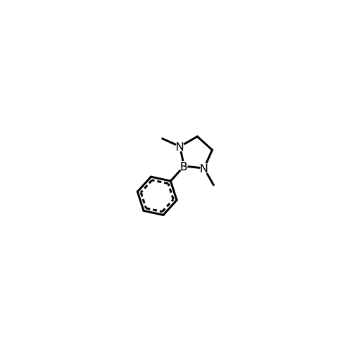 CN1CCN(C)B1c1ccccc1